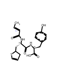 C/C=C/C(=O)N[C@@H](CC1CC=CS1)C(=O)N[C@@H](Cc1ccc(O)cc1)C(=O)O